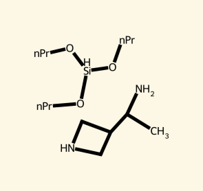 CC(N)C1CNC1.CCCO[SiH](OCCC)OCCC